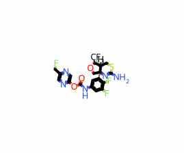 NC1=N[C@@]2(c3cc(NC(=O)Oc4cnc(CF)cn4)cc(F)c3F)CO[C@H](C(F)(F)F)[C@H]2CS1